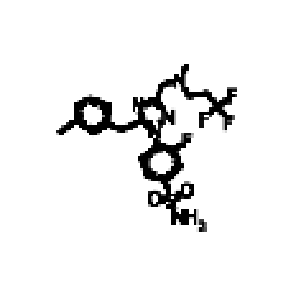 Cc1cccc(Cc2nc(CN(C)CCC(F)(F)F)nn2-c2ccc(S(N)(=O)=O)cc2F)c1